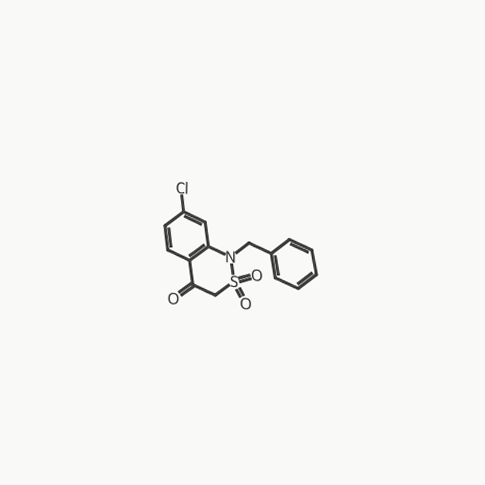 O=C1CS(=O)(=O)N(Cc2ccccc2)c2cc(Cl)ccc21